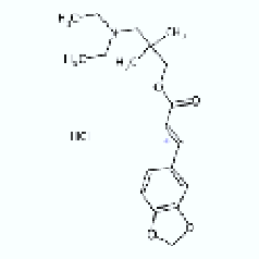 CCN(CC)CC(C)(C)COC(=O)/C=C/c1ccc2c(c1)OCO2.Cl